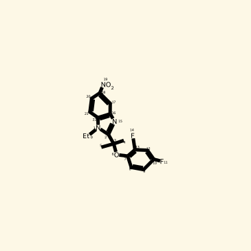 CCn1c(C(C)(C)Oc2ccc(F)cc2F)nc2cc([N+](=O)[O-])ccc21